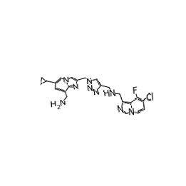 NCc1cc(C2CC2)cn2cc(Cn3cc(CNCc4ncn5ccc(Cl)c(F)c45)nn3)nc12